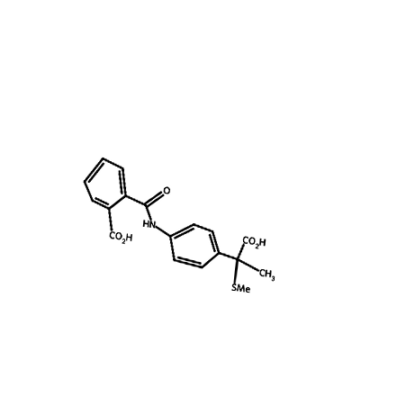 CSC(C)(C(=O)O)c1ccc(NC(=O)c2ccccc2C(=O)O)cc1